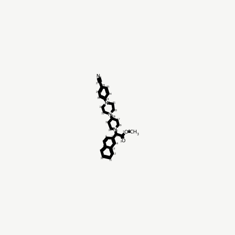 COC(=O)C(c1ccc2ccccc2c1)N1CCC(N2CCN(c3ccc(C#N)cc3)CC2)CC1